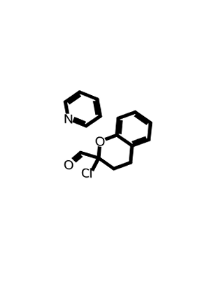 O=CC1(Cl)CCc2ccccc2O1.c1ccncc1